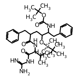 CC(C)C(NC(=O)C(Cc1ccccc1)CC(O[Si](C)(C)C(C)(C)C)C(Cc1ccccc1)NC(=O)OC(C)(C)C)C(=O)NC(=N)N